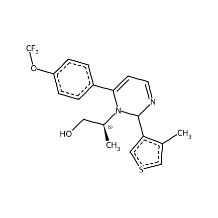 Cc1cscc1C1N=CC=C(c2ccc(OC(F)(F)F)cc2)N1[C@@H](C)CO